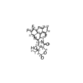 CC[C@@]1(O)CC(=O)OCc2c1cc1n(c2=O)Cc2c-1nc1cc(F)c(F)cc1c2-c1c(F)cccc1F